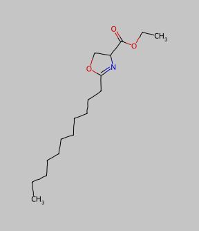 CCCCCCCCCCCC1=NC(C(=O)OCC)CO1